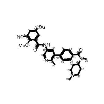 COc1c(C#N)cc(C(C)(C)C)cc1C(=O)Nc1cnc(C)c(-c2ccc(C(=O)N(C)C3CCN(C)CC3)cc2)c1